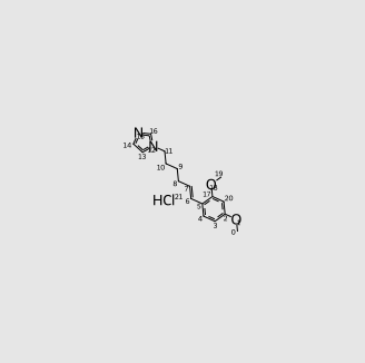 COc1ccc(C=CCCCCn2ccnc2)c(OC)c1.Cl